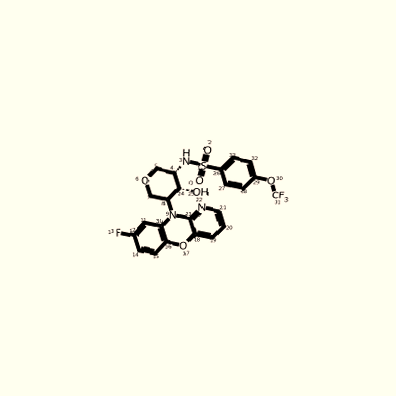 O=S(=O)(N[C@H]1COCC(N2c3cc(F)ccc3Oc3cccnc32)[C@H]1O)c1ccc(OC(F)(F)F)cc1